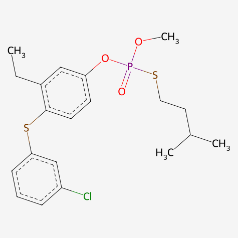 CCc1cc(OP(=O)(OC)SCCC(C)C)ccc1Sc1cccc(Cl)c1